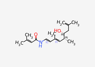 C=C(C)C[C@@H](O)[C@H](C)/C=C(C)/C=C/NC(=O)C=C(C)C